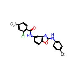 CCc1ccc(Nc2nc3cc(NC(=O)c4ccc([N+](=O)[O-])cc4Cl)ccc3o2)cc1